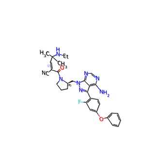 CCNC(C)(C)/C=C(/C#N)C(=O)N1CCC[C@@H]1Cn1nc(-c2ccc(Oc3ccccc3)cc2F)c2c(N)ncnc21